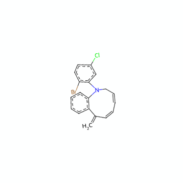 C=C1/C=C\C=C/CN(c2cc(Cl)ccc2Br)c2ccccc21